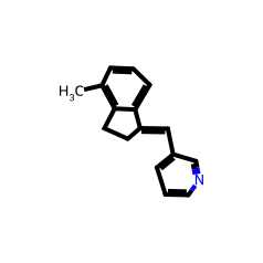 Cc1cccc2c1CCC2=Cc1cccnc1